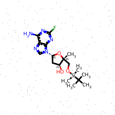 CC(C)(C)[Si](C)(C)OC[C@@]1(C)O[C@@H](n2cnc3c(N)nc(F)nc32)C[C@@H]1O